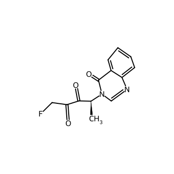 C[C@@H](C(=O)C(=O)CF)n1cnc2ccccc2c1=O